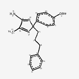 COc1ccc(C2(CCCc3ccccc3)N=C(C)C(N)=N2)cc1